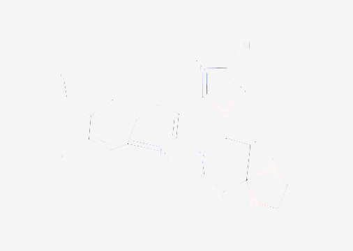 CCc1cc2cc(-c3nc(C)no3)c(N3CCC4(CC3)OCCO4)nc2cc1F